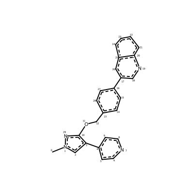 Cn1cc(-c2ccncc2)c(OCc2ccc(-c3cnc4ccccc4c3)cc2)n1